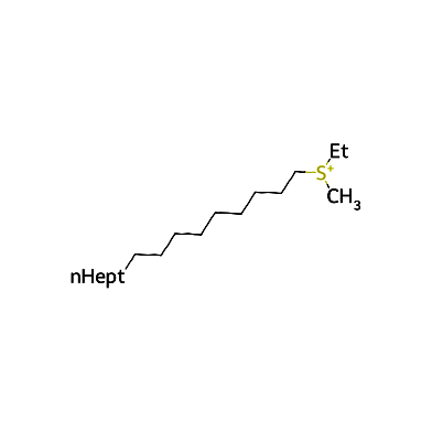 CCCCCCCCCCCCCCCC[S+](C)CC